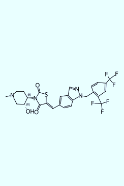 CN1CC[C@@H](N2C(=O)SC(=Cc3ccc4c(cnn4Cc4ccc(C(F)(F)F)cc4C(F)(F)F)c3)C2=O)[C@H](O)C1